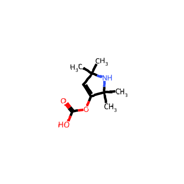 CC1(C)C=C(OC(=O)O)C(C)(C)N1